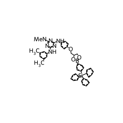 CNc1nc(Nc2ccc(OCC3COB(c4ccc([Si](c5ccccc5)(c5ccccc5)c5ccccc5)cc4)O3)cc2)nc(Nc2cc(C)cc(C)c2)n1